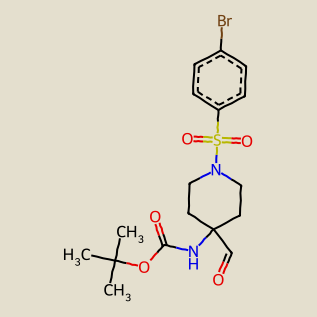 CC(C)(C)OC(=O)NC1(C=O)CCN(S(=O)(=O)c2ccc(Br)cc2)CC1